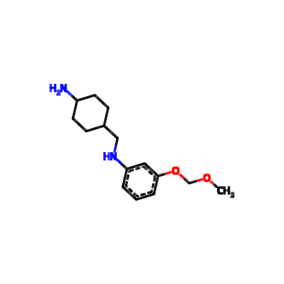 COCOc1cccc(NCC2CCC(N)CC2)c1